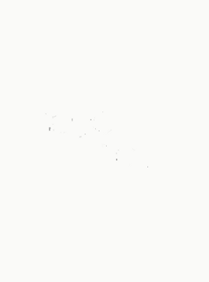 O=c1cc2c(c[nH]1)[C@@H]1CC[C@H](C2)N1C(=S)Nc1cc(Cl)c(C(F)(F)F)cc1F